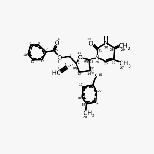 C#C[C@@]1(COC(=O)c2ccccc2)C[C@@H](Sc2ccc(C)cc2)[C@H](N2C=C(C)C(=C)NC2=O)O1